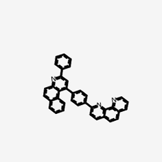 c1ccc(-c2cc(-c3ccc(-c4ccc5ccc6cccnc6c5n4)cc3)c3c(ccc4ccccc43)n2)cc1